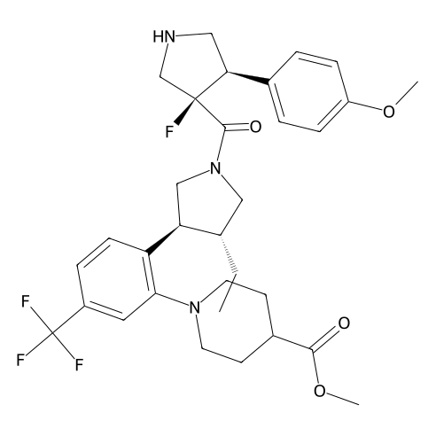 CC[C@H]1CN(C(=O)[C@]2(F)CNC[C@H]2c2ccc(OC)cc2)C[C@@H]1c1ccc(C(F)(F)F)cc1N1CCC(C(=O)OC)CC1